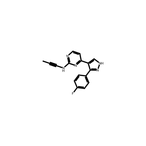 CC#CNc1nccc(-c2c[nH]nc2-c2ccc(F)cc2)n1